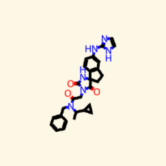 CC(C1CC1)N(Cc1ccccc1)C(=O)CN1C(=O)NC2(CCc3cc(Nc4ncc[nH]4)ccc32)C1=O